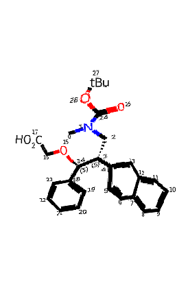 CN(C[C@H](c1ccc2ccccc2c1)[C@H](OCC(=O)O)c1ccccc1)C(=O)OC(C)(C)C